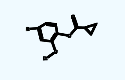 CCOc1cc(Br)ccc1OC(=O)C1CC1